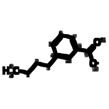 CCCCc1cccc(C([O])=O)c1